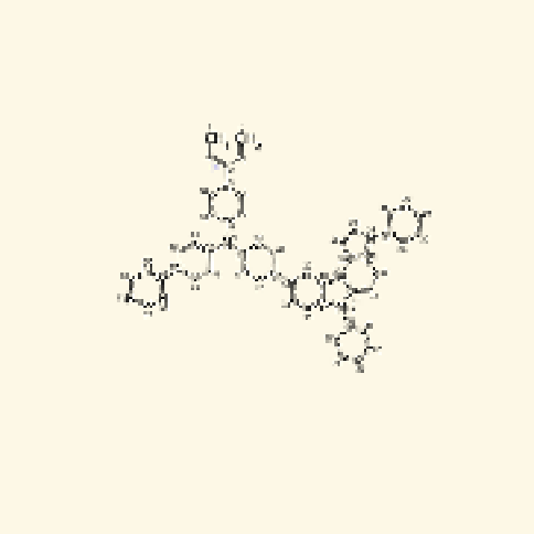 C=C/C(=C\C)c1ccc(N(c2ccc(-c3ccc4c(c3)c3c5ccn(-c6ccccc6)c5ccc3n4-c3ccccc3)cc2)c2ccc(-c3ncncn3)cc2)cc1